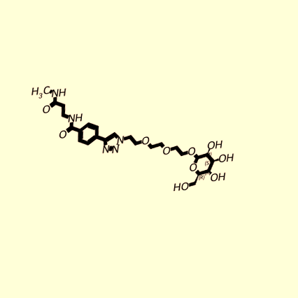 CNC(=O)CCNC(=O)c1ccc(-c2cn(CCOCCOCCOC3O[C@H](CO)[C@H](O)[C@H](O)[C@H]3O)nn2)cc1